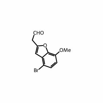 COc1ccc(Br)c2cc(CC=O)oc12